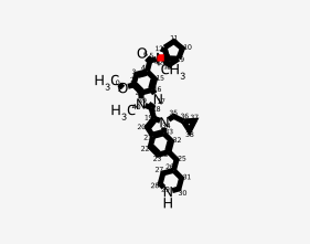 COc1cc(C(=O)N2CC3CCC2[C@@H]3C)cc2nc(-c3cc4ccc(CC5CCNCC5)cc4n3CC3CC3)n(C)c12